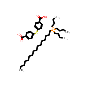 CCCCCCCCCCCCCCCC[PH](CCCC)(CCCC)CCCC.O=C(O)c1ccc(Sc2ccc(C(=O)O)cc2)cc1